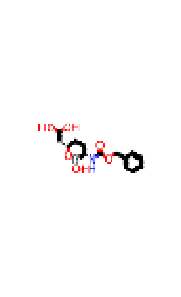 O=C(N[C@H]1CC[C@@H](CC(O)O)OB1O)OCc1ccccc1